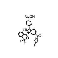 O=C(O)C1CC=C(c2nn(C(=O)c3c(Cl)cccc3C(F)(F)F)c3cc(C(=O)N4CC(F)C4)ccc23)CC1